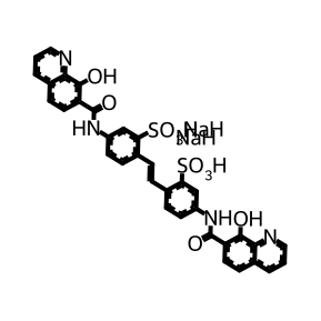 O=C(Nc1ccc(/C=C/c2ccc(NC(=O)c3ccc4cccnc4c3O)cc2S(=O)(=O)O)c(S(=O)(=O)O)c1)c1ccc2cccnc2c1O.[NaH].[NaH]